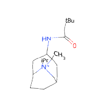 CC(C)[N+]1(C)C2CCC1CC(NC(=O)C(C)(C)C)C2